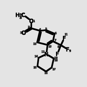 COC(=O)c1ccc(C(F)(F)F)c(N2CCCCC2)c1